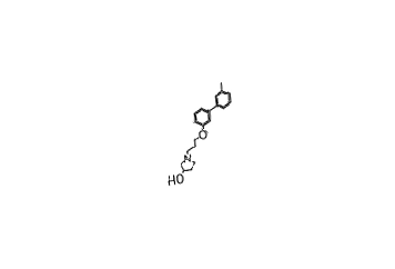 Cc1cccc(-c2cccc(OCCCN3CCC(O)C3)c2)c1